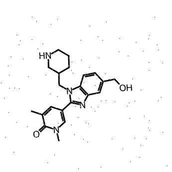 Cc1cc(-c2nc3cc(CO)ccc3n2CC2CCCNC2)cn(C)c1=O